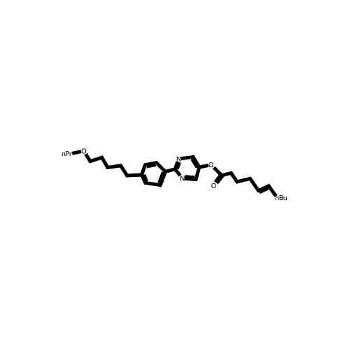 CCCCC=CCCCC(=O)Oc1cnc(-c2ccc(CCCCCOCCC)cc2)nc1